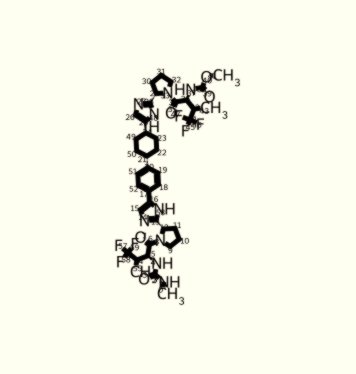 CNC(=O)N[C@H](C(=O)N1CCC[C@H]1c1ncc(-c2ccc([C@H]3CC[C@H](c4cnc([C@@H]5CCCN5C(=O)[C@@H](NC(=O)OC)C(C)C(F)(F)F)[nH]4)CC3)cc2)[nH]1)C(C)C(F)(F)F